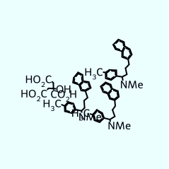 CNC(CCCc1ccc2ccccc2c1)c1ccc(C)cc1.CNC(CCCc1ccc2ccccc2c1)c1ccc(C)cc1.CNC(CCCc1ccc2ccccc2c1)c1ccc(C)cc1.O=C(O)CC(O)(CC(=O)O)C(=O)O